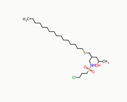 CCCCCCCCCCCCCCCCSCC(CNS(=O)(=O)CCCCl)CC(C)O